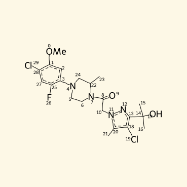 COc1cc(N2CCN(C(=O)Cn3nc(C(C)(C)O)c(Cl)c3C)C(C)C2)c(F)cc1Cl